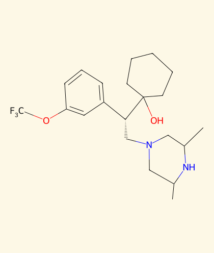 CC1CN(C[C@H](c2cccc(OC(F)(F)F)c2)C2(O)CCCCC2)CC(C)N1